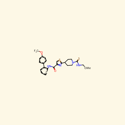 COCNC(=S)N1CCC(c2nc(C(=O)Nc3ccccc3-c3ccc(OC(F)(F)F)cc3)cs2)CC1